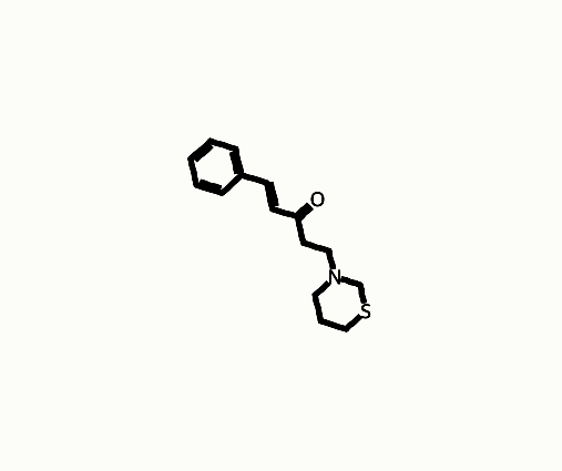 O=C(C=Cc1ccccc1)CCN1CCCSC1